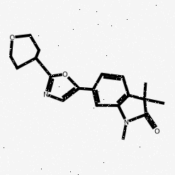 CN1C(=O)C(C)(C)c2ccc(-c3cnc(C4CCOCC4)o3)cc21